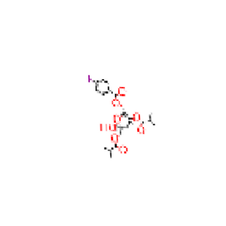 CC(C)C(=O)OC[C@]1(O)C[C@H](OC(=O)C(C)C)[C@@H](COC(=O)c2ccc(I)cc2)O1